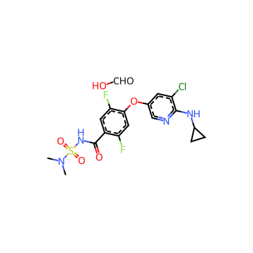 CN(C)S(=O)(=O)NC(=O)c1cc(F)c(Oc2cnc(NC3CC3)c(Cl)c2)cc1F.O=CO